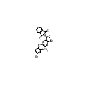 O=C(c1cc(Oc2ccc(Br)cc2[N+](=O)[O-])ccc1Br)N1C(=O)c2ccccc2C1=O